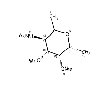 CO[C@@H]1[C@H](OC)[C@@H](NC(C)=O)C(C)O[C@@H]1C